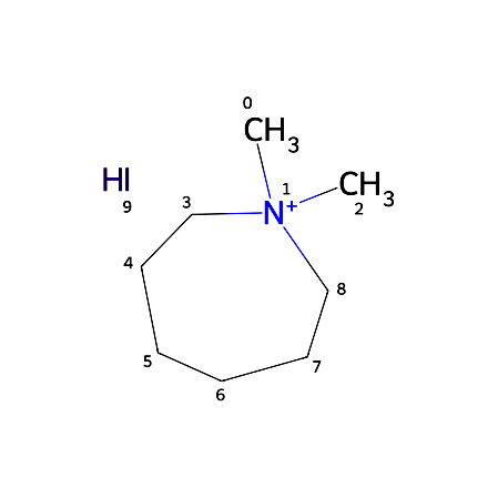 C[N+]1(C)CCCCCC1.I